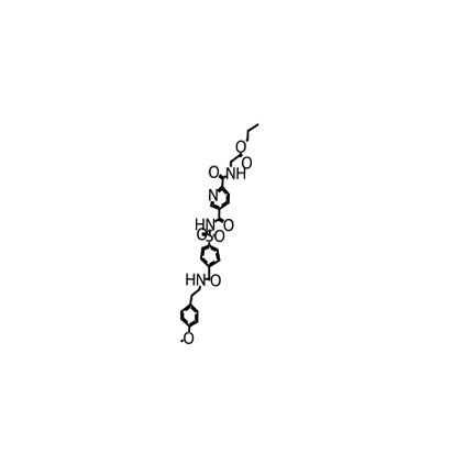 CCCOC(=O)CNC(=O)c1ccc(C(=O)NS(=O)(=O)c2ccc(C(=O)NCCc3ccc(OC)cc3)cc2)cn1